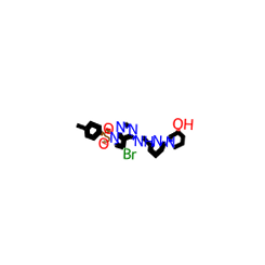 Cc1ccc(S(=O)(=O)n2cc(Br)c3c(NCc4cccc(N5CCCC(O)C5)n4)ncnc32)cc1